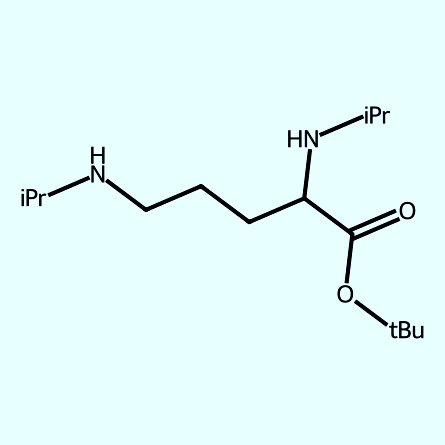 CC(C)NCCCC(NC(C)C)C(=O)OC(C)(C)C